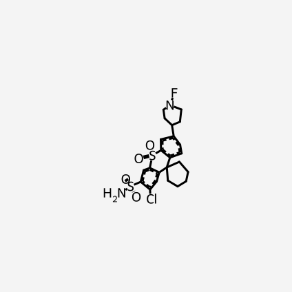 NS(=O)(=O)c1cc2c(cc1Cl)C1(CCCCC1)c1ccc(C3CCN(F)CC3)cc1S2(=O)=O